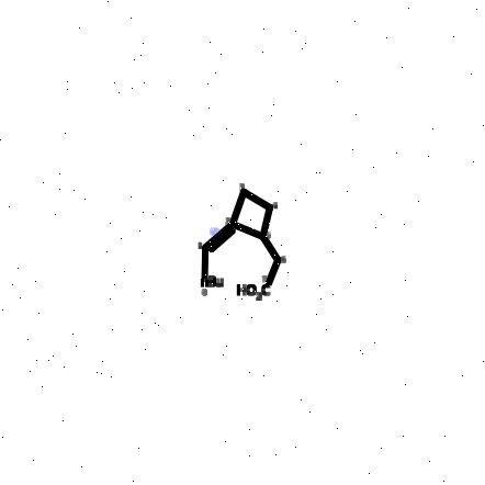 CCCC/C=C1/CCC1CC(=O)O